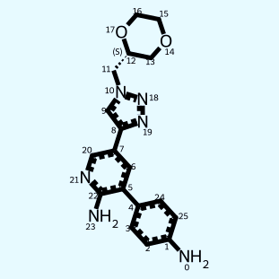 Nc1ccc(-c2cc(-c3cn(C[C@H]4COCCO4)nn3)cnc2N)cc1